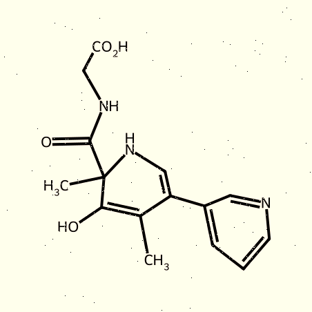 CC1=C(O)C(C)(C(=O)NCC(=O)O)NC=C1c1cccnc1